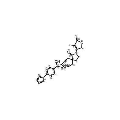 CC1=C(N2CCC3(CC4CCC(C3)N4C[C@H](O)c3cnc(-n4cnnn4)nc3)C2=O)COC1=O